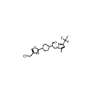 Cc1cc(C(F)(F)F)nn1CC(C=O)N1CCC(c2nc(CCl)cs2)CC1